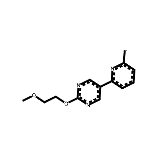 [CH2]c1cccc(-c2cnc(OCCOC)nc2)n1